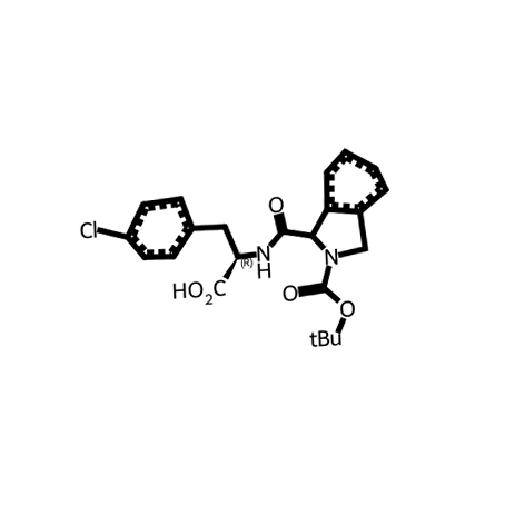 CC(C)(C)OC(=O)N1Cc2ccccc2C1C(=O)N[C@H](Cc1ccc(Cl)cc1)C(=O)O